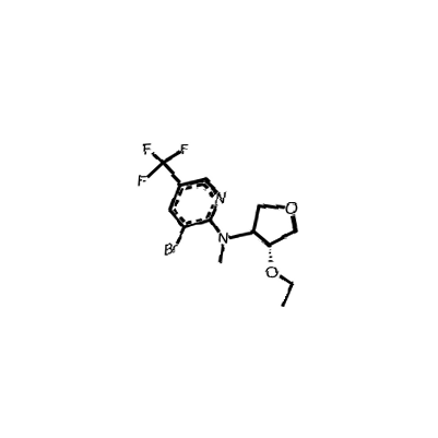 CCO[C@H]1COCC1N(C)c1ncc(C(F)(F)F)cc1Br